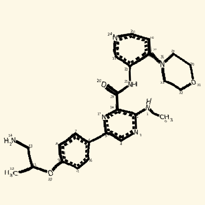 CNc1ncc(-c2ccc(OC(C)CN)cc2)nc1C(=O)Nc1cnccc1N1CCOCC1